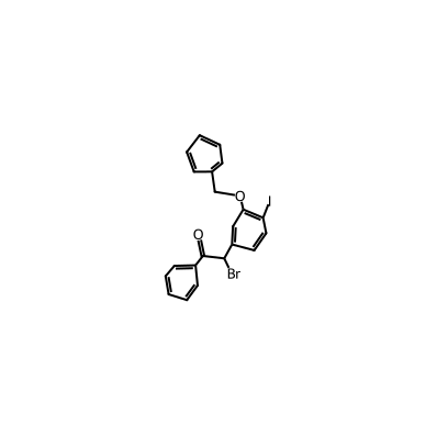 O=C(c1ccccc1)C(Br)c1ccc(I)c(OCc2ccccc2)c1